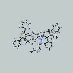 C=C/C=C\C=C(/c1ccccc1)N(C1=CC2C(C=C1)c1c(-c3ccccc3)sc(-c3ccccc3)c1C2(C)C)c1ccc2c(c1)C(C)(C)c1ccccc1-2